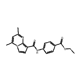 CCOC(=O)c1ccc(NC(=O)c2ccn3c(C)cc(C)nc23)cc1